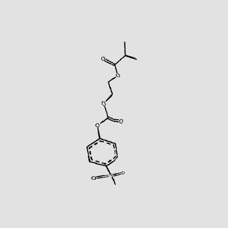 CC(C)C(=O)OCCOC(=O)Oc1ccc(S(C)(=O)=O)cc1